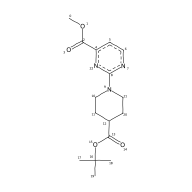 COC(=O)c1ccnc(N2CCC(C(=O)OC(C)(C)C)CC2)n1